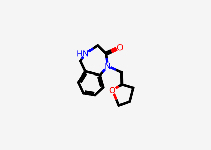 O=C1CNCc2ccccc2N1CC1CCCO1